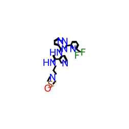 C=C(NCCCN1CC[S+]([O-])CC1)c1cnccc1Nc1nc(-c2cccc(C(F)F)n2)nn2cccc12